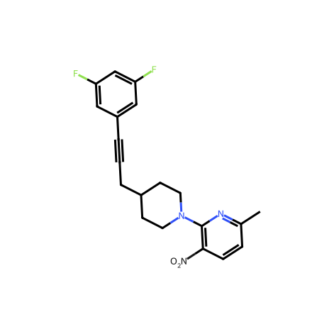 Cc1ccc([N+](=O)[O-])c(N2CCC(CC#Cc3cc(F)cc(F)c3)CC2)n1